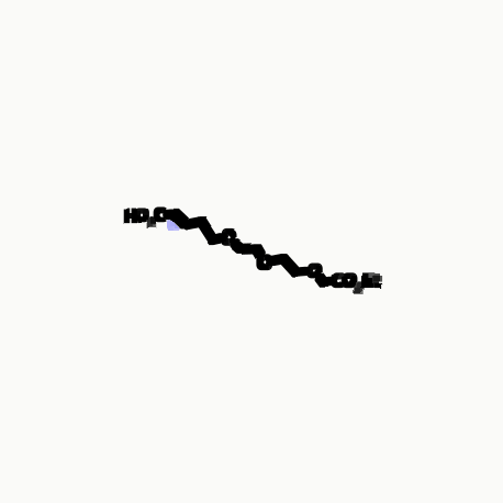 CCOC(=O)COCCOCCOCC/C=C/C(=O)O